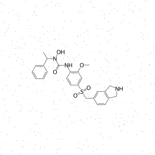 COc1cc(S(=O)(=O)Cc2ccc3c(c2)CNC3)ccc1NC(=O)N(O)C(C)c1ccccc1